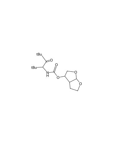 CC(C)(C)C(=O)C(NC(=O)OC1COC2OCCC12)C(C)(C)C